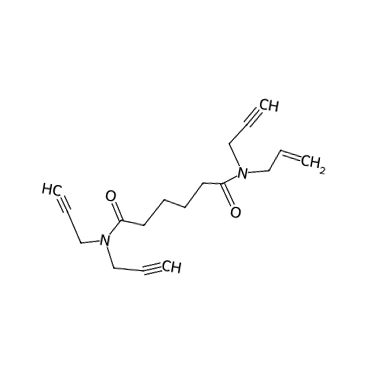 C#CCN(CC#C)C(=O)CCCCC(=O)N(CC#C)CC=C